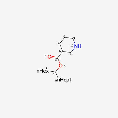 CCCCCCCC(CCCCCC)OC(=O)C1CCCNC1